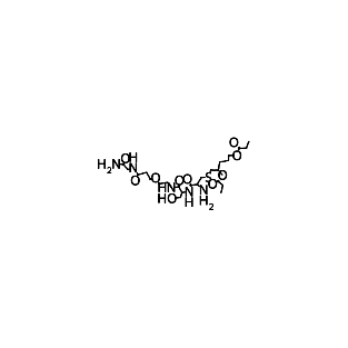 CCC(=O)OCCCC(CSCC(N)C(=O)NC(CO)C(=O)NCCOCCC(=O)NCC(N)=O)OC(=O)CC